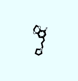 Fc1cc(CCCN2CCCC2)cc2c1OCCO2